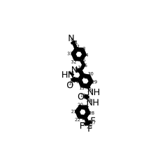 N#Cc1ccc(Cc2n[nH]c(=O)c3cc(NC(=O)Nc4cccc(C(F)(F)F)c4)ccc23)cc1